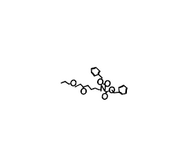 CCCOCCC(=O)CCCCN(C(=O)OCc1ccccc1)C(=O)OCc1ccccc1